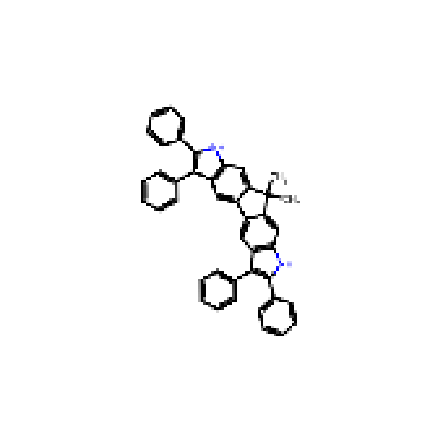 CC1(C)c2cc3[nH]c(-c4ccccc4)c(-c4ccccc4)c3cc2-c2cc3c(-c4ccccc4)c(-c4ccccc4)[nH]c3cc21